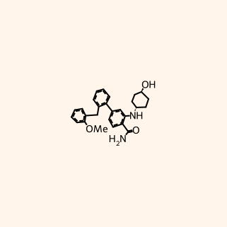 COc1ccccc1Cc1ccccc1-c1ccc(C(N)=O)c(N[C@H]2CC[C@H](O)CC2)c1